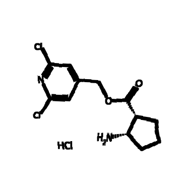 Cl.N[C@H]1CCC[C@H]1C(=O)OCc1cc(Cl)nc(Cl)c1